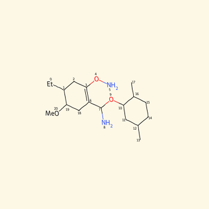 CCC1CC(ON)=C(C(N)OC2CC(C)CCC2C)CC1OC